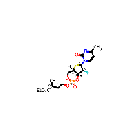 CCOC(=O)[C@H](C)CCO[P@@]1(=O)OC[C@H]2S[C@@H](n3ccc(C)nc3=O)[C@@H](F)[C@@H]2O1